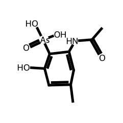 CC(=O)Nc1cc(C)cc(O)c1[As](=O)(O)O